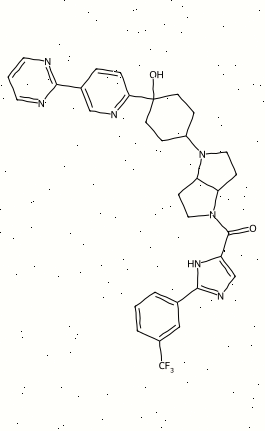 O=C(c1cnc(-c2cccc(C(F)(F)F)c2)[nH]1)N1CCC2C1CCN2C1CCC(O)(c2ccc(-c3ncccn3)cn2)CC1